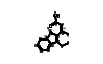 CCc1c(/C(C)=C\C(=O)O)oc2ccccc12